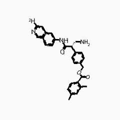 [2H]c1cc2cc(NC(=O)[C@H](CN)c3ccc(COC(=O)c4ccc(C)cc4C)cc3)ccc2cn1